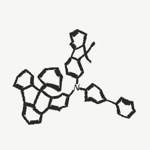 CC1(C)c2ccccc2-c2ccc(N(c3ccc(-c4ccccc4)cc3)c3ccc4c(c3)C3(c5ccccc5)c5ccccc5-c5cccc-4c53)cc21